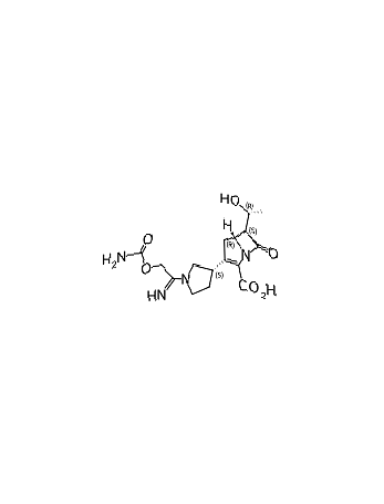 C[C@@H](O)[C@H]1C(=O)N2C(C(=O)O)=C([C@@H]3CCN(C(=N)COC(N)=O)C3)C[C@H]12